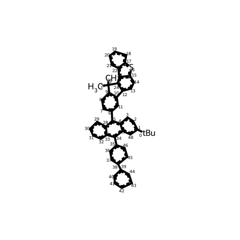 CC(C)(C)c1ccc2c(-c3ccc4c(c3)-c3ccc5sc6ccccc6c5c3C4(C)C)c3ccccc3c(-c3ccc(-c4ccccc4)cc3)c2c1